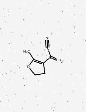 C=C(C#N)C1=C(C)OCC1